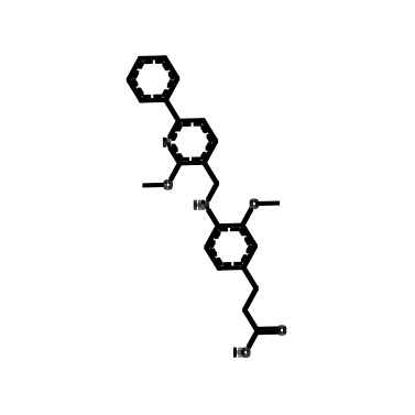 COc1cc(CCC(=O)O)ccc1NCc1ccc(-c2ccccc2)nc1OC